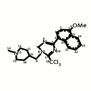 COc1ccc(C2=NCN(CC3CCN(C)CC3)C(C(Cl)(Cl)Cl)=N2)c2ccccc12